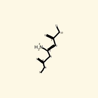 C=C(/C=C(\N)CC(=C)CC)CC